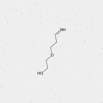 N=CCCOCCO